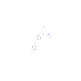 O=C(Nc1ccc(CC(C(=O)Nc2nccs2)C2CCCC2)cc1)c1ccc([N+](=O)[O-])cc1